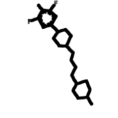 Cc1c(F)cc(C2CCC(CCCCC3CCC(C)CC3)CC2)cc1F